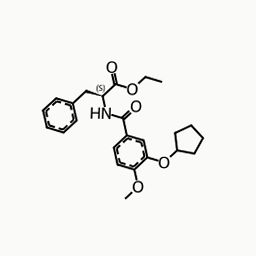 CCOC(=O)[C@H](Cc1ccccc1)NC(=O)c1ccc(OC)c(OC2CCCC2)c1